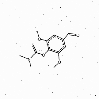 COc1cc(C=O)cc(OC)c1OC(=S)N(C)C